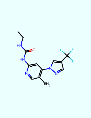 Bc1cnc(NC(=O)NCC)cc1-n1cc(C(F)(F)F)cn1